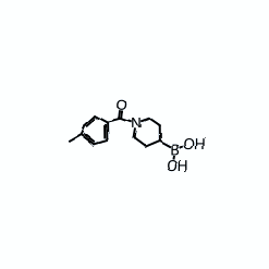 Cc1ccc(C(=O)N2CCC(B(O)O)CC2)cc1